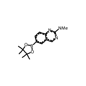 CNc1ncc2cc(B3OC(C)(C)C(C)(C)O3)ccc2n1